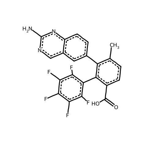 Cc1ccc(C(=O)O)c(-c2c(F)c(F)c(F)c(F)c2F)c1-c1ccc2nc(N)ncc2c1